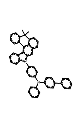 CC1(C)c2ccccc2-c2c3c1cccc3cc1c2c2ccccc2n1-c1ccc(N(c2ccccc2)c2ccc(-c3ccccc3)cc2)cc1